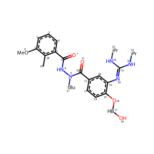 COc1cccc(C(=O)NN(C(=O)c2ccc(OBO)c(N=C(NC(C)C)NC(C)C)c2)C(C)(C)C)c1C